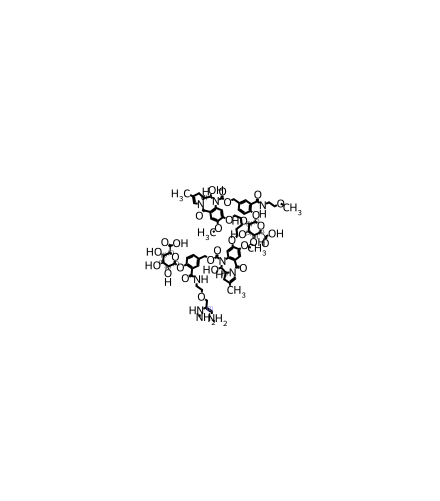 COCCNC(=O)c1cc(COC(=O)N2c3cc(OCCCCCOc4cc5c(cc4OC)C(=O)N4C=C(C)C[C@H]4C(O)N5C(=O)OCc4ccc(O[C@@H]5O[C@H](C(=O)O)[C@@H](O)[C@H](O)[C@H]5O)c(C(=O)NCCOC/C(=C/N)NN)c4)c(OC)cc3C(=O)N3C=C(C)C[C@H]3C2O)ccc1O[C@@H]1O[C@H](C(=O)O)[C@@H](O)[C@H](O)[C@H]1O